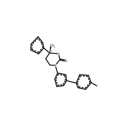 C[C@]1(c2ccccc2)CCN(c2cccc(-c3ccc(F)cc3)c2)C(=O)O1